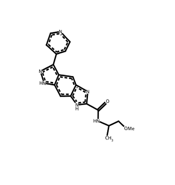 COCC(C)NC(=O)c1nc2cc3c(-c4ccncc4)n[nH]c3cc2[nH]1